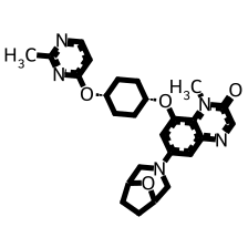 Cc1nccc(O[C@H]2CC[C@@H](Oc3cc(N4CC5CCC(C4)O5)cc4ncc(=O)n(C)c34)CC2)n1